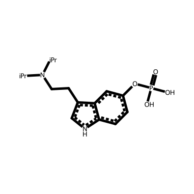 CC(C)N(CCc1c[nH]c2ccc(OP(=O)(O)O)cc12)C(C)C